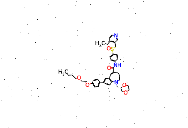 CCCCOCCOc1ccc(-c2ccc3c(c2)/C=C(/C(=O)Nc2ccc([S+]([O-])Cc4cnccc4CC)cc2)CCCN3C[C@H]2COCCO2)cc1